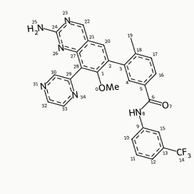 COc1c(-c2cc(C(=O)Nc3cccc(C(F)(F)F)c3)ccc2C)cc2cnc(N)nc2c1-c1cnccn1